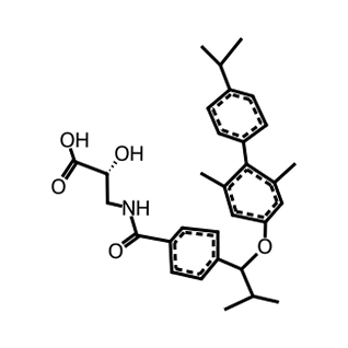 Cc1cc(OC(c2ccc(C(=O)NC[C@@H](O)C(=O)O)cc2)C(C)C)cc(C)c1-c1ccc(C(C)C)cc1